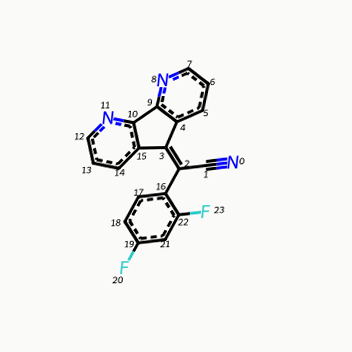 N#CC(=C1c2cccnc2-c2ncccc21)c1ccc(F)cc1F